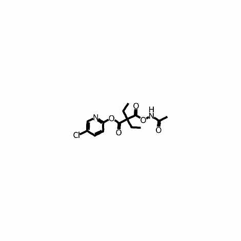 CCC(CC)(C(=O)ONC(C)=O)C(=O)Oc1ccc(Cl)cn1